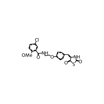 COc1ccc(Cl)cc1C(=O)NCCOc1ccc(C=C2NC(=O)SC2=O)cc1